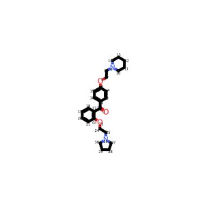 O=C(c1ccc(OCCN2CCCCC2)cc1)c1[c]cccc1OCCN1CCCC1